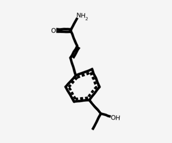 CC(O)c1ccc(C=CC(N)=O)cc1